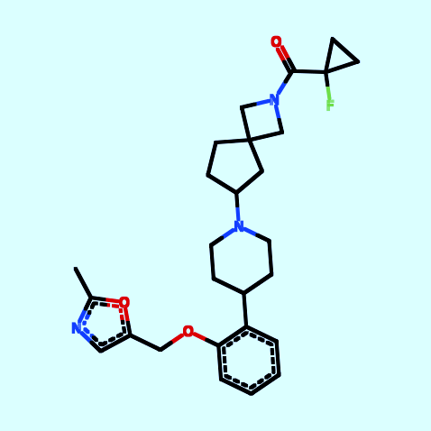 Cc1ncc(COc2ccccc2C2CCN(C3CCC4(C3)CN(C(=O)C3(F)CC3)C4)CC2)o1